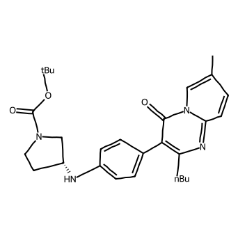 CCCCc1nc2ccc(C)cn2c(=O)c1-c1ccc(N[C@@H]2CCN(C(=O)OC(C)(C)C)C2)cc1